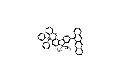 CC1(C)c2cc(-c3c4ccccc4cc4cc5ccccc5cc34)ccc2-c2c1ccc1c2Sc2ccccc2[Si]1(c1ccccc1)c1ccccc1